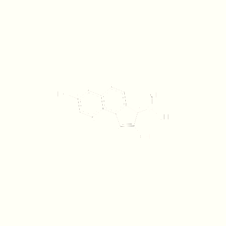 CC1=Cc2c(ccc3cc(C)ccc23)C1[SiH](C)C